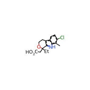 CCC1(CC(=O)O)OCCc2c1[nH]c1c(C)c(Cl)ccc21